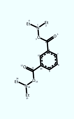 CCN(CC)OC(=O)c1cccc(C(=O)ON(CC)CC)c1